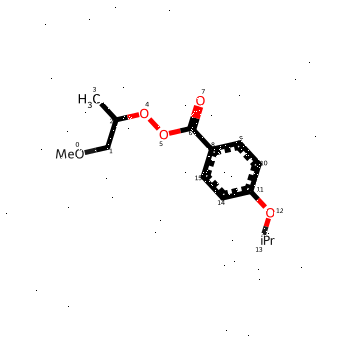 COC[C](C)OOC(=O)c1ccc(OC(C)C)cc1